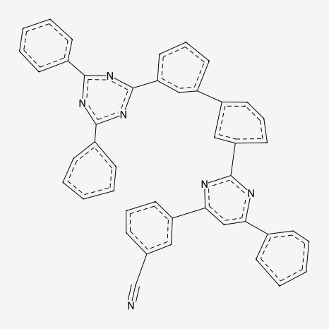 N#Cc1cccc(-c2cc(-c3ccccc3)nc(-c3cccc(-c4cccc(-c5nc(-c6ccccc6)nc(-c6ccccc6)n5)c4)c3)n2)c1